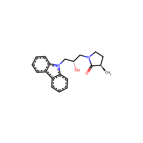 C[C@@H]1CCN(C[C@H](O)Cn2c3ccccc3c3ccccc32)C1=O